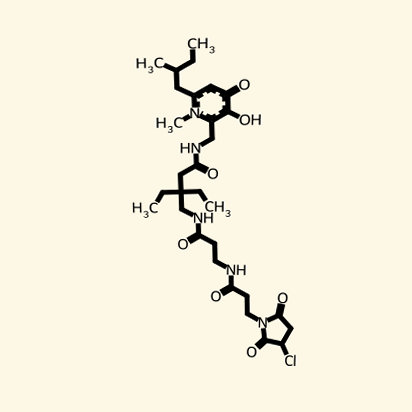 CCC(C)Cc1cc(=O)c(O)c(CNC(=O)CC(CC)(CC)CNC(=O)CCNC(=O)CCN2C(=O)CC(Cl)C2=O)n1C